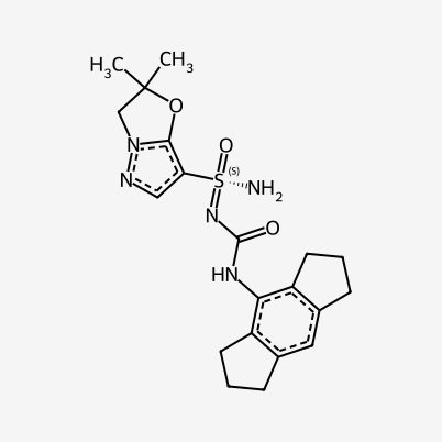 CC1(C)Cn2ncc([S@@](N)(=O)=NC(=O)Nc3c4c(cc5c3CCC5)CCC4)c2O1